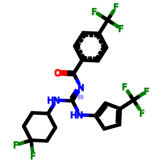 O=C(/N=C(/NC1=CC(C(F)(F)F)=CC1)NC1CCC(F)(F)CC1)c1ccc(C(F)(F)F)cc1